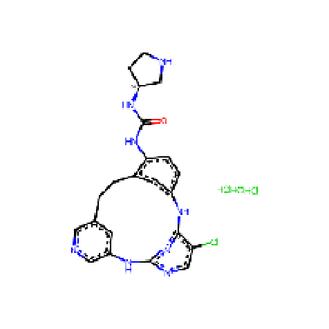 Cl.Cl.Cl.O=C(Nc1ccc2cc1CCc1cncc(c1)Nc1ncc(Cl)c(n1)N2)N[C@H]1CCNC1